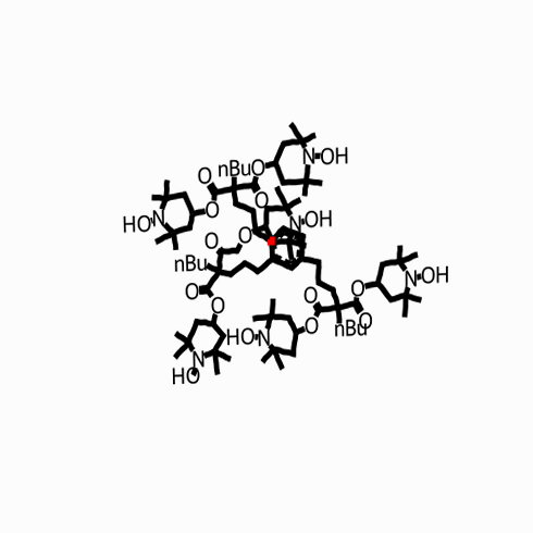 CCCCC(CCCc1cc(CCCC(CCCC)(C(=O)OC2CC(C)(C)N(O)C(C)(C)C2)C(=O)OC2CC(C)(C)N(O)C(C)(C)C2)ccc1CCCC(CCCC)(C(=O)OC1CC(C)(C)N(O)C(C)(C)C1)C(=O)OC1CC(C)(C)N(O)C(C)(C)C1)(C(=O)COC1CC(C)(C)N(O)C(C)(C)C1)C(=O)OC1CC(C)(C)N(O)C(C)(C)C1